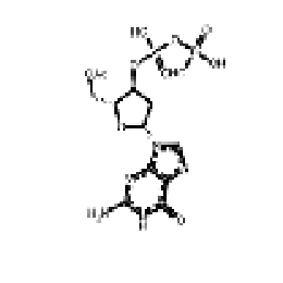 CC(=O)OC[C@H]1O[C@@H](n2cnc3c(=O)[nH]c(N)nc32)C[C@@H]1OP(=O)(O)OP(=O)(O)O